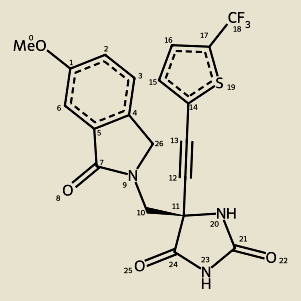 COc1ccc2c(c1)C(=O)N(C[C@@]1(C#Cc3ccc(C(F)(F)F)s3)NC(=O)NC1=O)C2